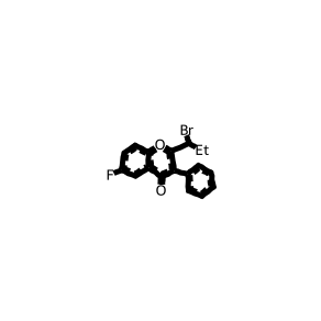 CCC(Br)c1oc2ccc(F)cc2c(=O)c1-c1ccccc1